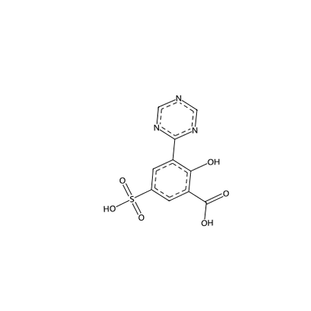 O=C(O)c1cc(S(=O)(=O)O)cc(-c2ncncn2)c1O